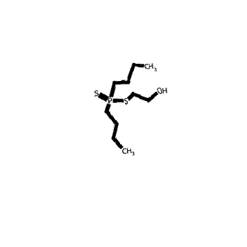 CCCCP(=S)(CCCC)SCCO